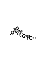 Cc1ccc(S(=O)(=O)N2CCC[C@H]2C(=O)N[C@@H](Cc2cccc(NC(=O)C3CCNCC3)c2)C(=O)O)cc1